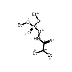 CCOP(=O)(OCC)ONC(=S)C(CC)CC